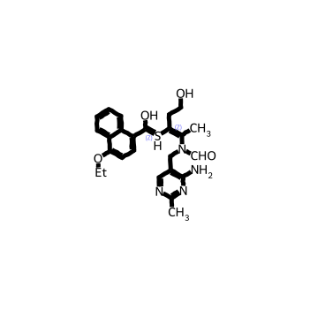 CCOc1ccc(/C(O)=[SH]/C(CCO)=C(/C)N(C=O)Cc2cnc(C)nc2N)c2ccccc12